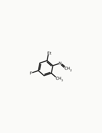 C=Nc1c(C)cc(F)cc1CC